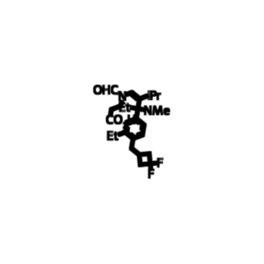 CCc1cc(C(CC)(NC)/C(=C\N(C=O)CCC(=O)O)C(C)C)ccc1CC1CC(F)(F)C1